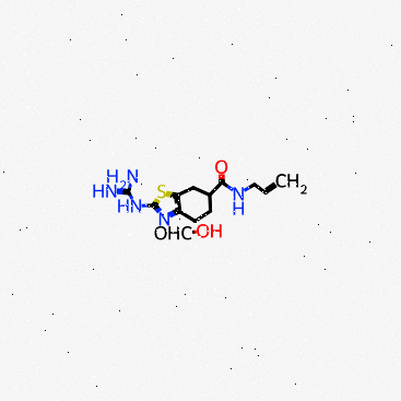 C=CCNC(=O)C1CCc2nc(NC(=N)N)sc2C1.O=CO